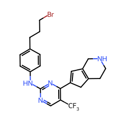 FC(F)(F)c1cnc(Nc2ccc(CCCBr)cc2)nc1C1=CC2=C(CCNC2)C1